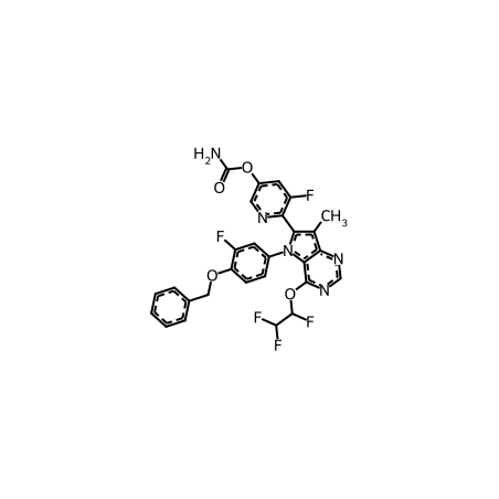 Cc1c(-c2ncc(OC(N)=O)cc2F)n(-c2ccc(OCc3ccccc3)c(F)c2)c2c(OC(F)C(F)F)ncnc12